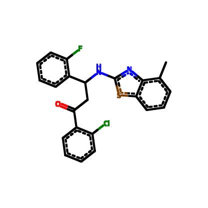 Cc1cccc2sc(NC(CC(=O)c3ccccc3Cl)c3ccccc3F)nc12